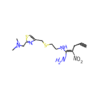 C#CCC(=C(N)NCCSCc1csc(CN(C)C)n1)[N+](=O)[O-]